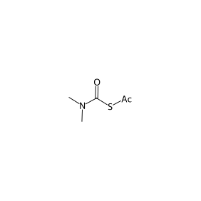 CC(=O)SC(=O)N(C)C